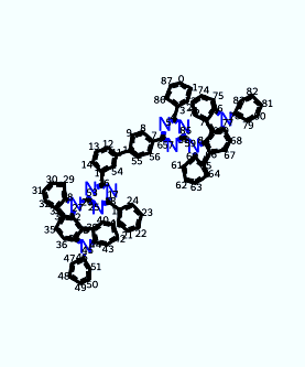 c1ccc(-c2nc(-c3ccc(-c4cccc(-c5nc(-c6ccccc6)nc(-n6c7ccccc7c7ccc8c(c9ccccc9n8-c8ccccc8)c76)n5)c4)cc3)nc(-n3c4ccccc4c4ccc5c(c6ccccc6n5-c5ccccc5)c43)n2)cc1